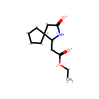 CCOC(=O)CC1NC(=O)CC12CCCC2